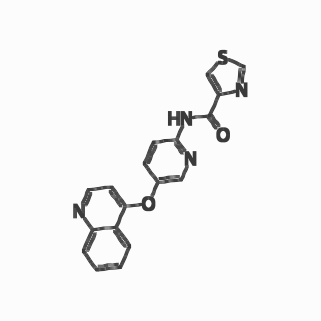 O=C(Nc1ccc(Oc2ccnc3ccccc23)cn1)c1cscn1